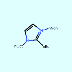 CCCCCCCCC[n+]1ccn(CCCCCCCC)c1CCCC